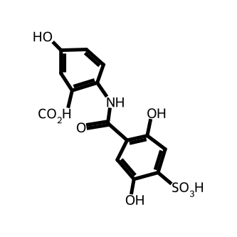 O=C(Nc1ccc(O)cc1C(=O)O)c1cc(O)c(S(=O)(=O)O)cc1O